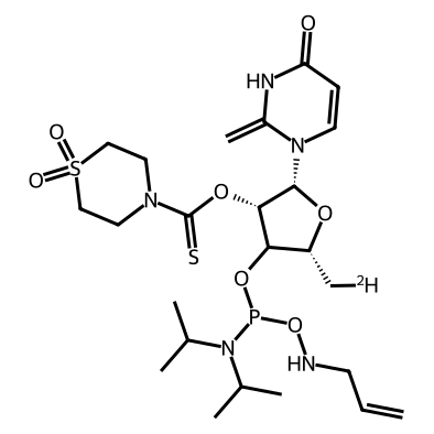 [2H]C[C@H]1O[C@@H](N2C=CC(=O)NC2=C)[C@@H](OC(=S)N2CCS(=O)(=O)CC2)C1OP(ONCC=C)N(C(C)C)C(C)C